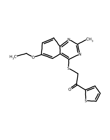 CCOc1ccc2nc(C)nc(SCC(=O)c3cccs3)c2c1